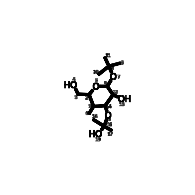 CC1C(CO)OC(OC(C)(C)C)C(O)C1OC(C)(C)O